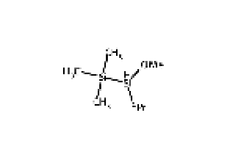 CCC[SiH](OC)[Si](C)(C)C